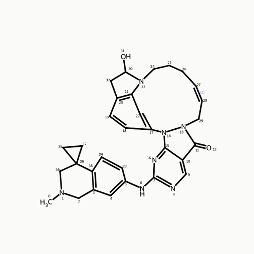 CN1Cc2cc(Nc3ncc4c(=O)n5n(c4n3)-c3ccc4c(c3)N(CCC/C=C\C5)C(O)C4)ccc2C2(CC2)C1